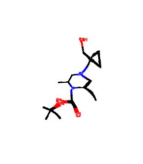 CC1CN(C2(CO)CC2)CC(C)N1C(=O)OC(C)(C)C